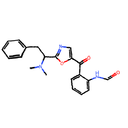 CN(C)C(Cc1ccccc1)c1ncc(C(=O)c2ccccc2NC=O)o1